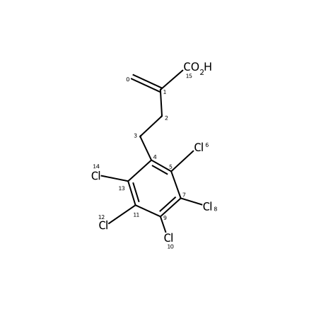 C=C(CCc1c(Cl)c(Cl)c(Cl)c(Cl)c1Cl)C(=O)O